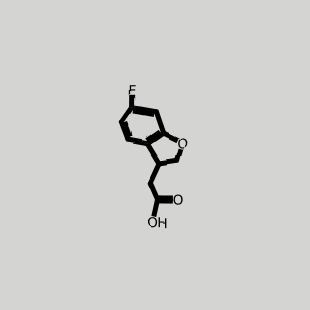 O=C(O)CC1COc2cc(F)ccc21